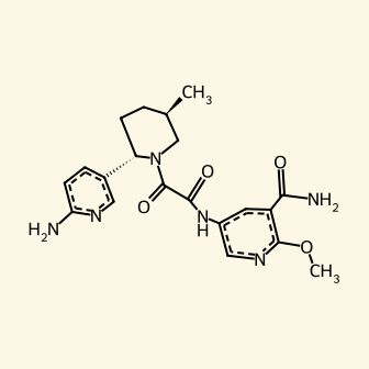 COc1ncc(NC(=O)C(=O)N2C[C@H](C)CC[C@H]2c2ccc(N)nc2)cc1C(N)=O